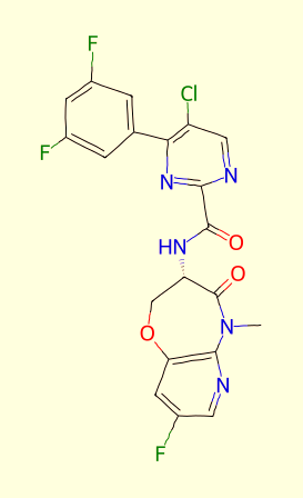 CN1C(=O)[C@@H](NC(=O)c2ncc(Cl)c(-c3cc(F)cc(F)c3)n2)COc2cc(F)cnc21